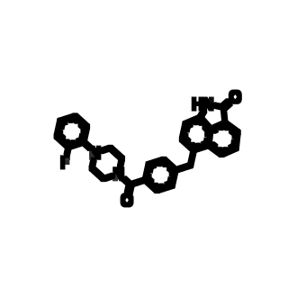 O=C1Nc2ccc(Cc3ccc(C(=O)N4CCN(c5ccccc5F)CC4)cc3)c3cccc1c23